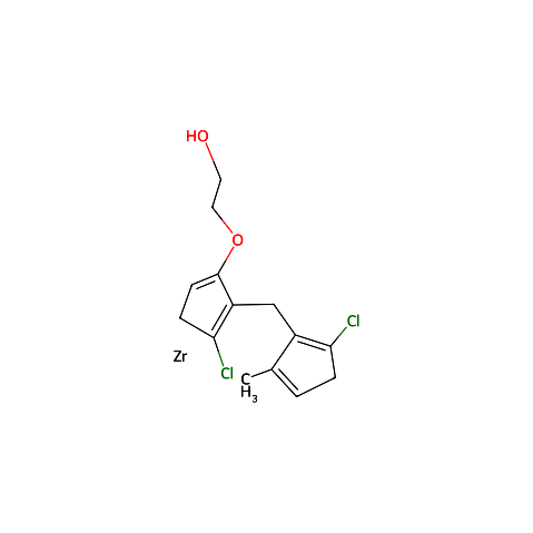 CC1=CCC(Cl)=C1CC1=C(Cl)CC=C1OCCO.[Zr]